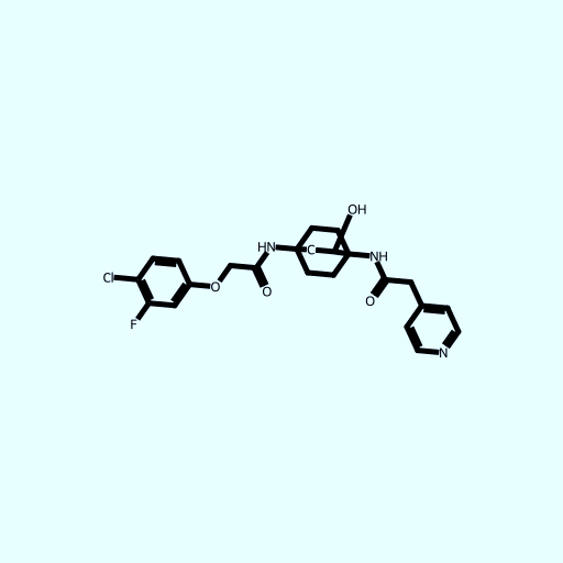 O=C(COc1ccc(Cl)c(F)c1)NC12CCC(NC(=O)Cc3ccncc3)(CC1)C(O)C2